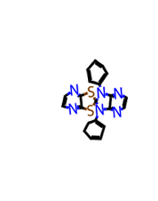 C1=CCCC(N2c3nccnc3N(c3ccccc3)C23Sc2nccnc2S3)=C1